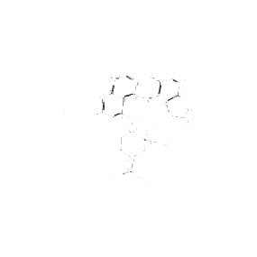 COc1cc(O[C@@H]2CCN(C(C)C)CC2(F)F)c2c(Nc3c(F)ccc4c3OCO4)ncnc2c1